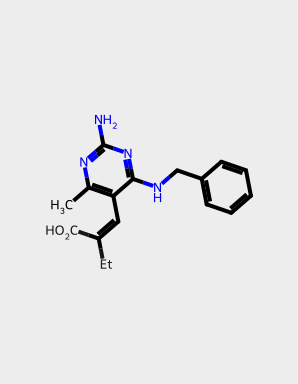 CCC(=Cc1c(C)nc(N)nc1NCc1ccccc1)C(=O)O